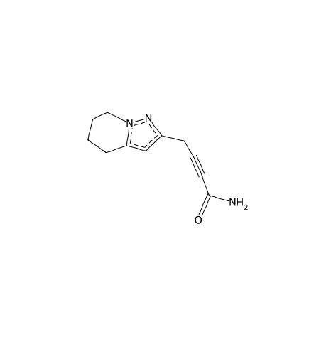 NC(=O)C#CCc1cc2n(n1)CCCC2